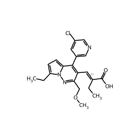 CC/C(=C\c1c(COC)nn2c(CC)ccc2c1-c1cncc(Cl)c1)C(=O)O